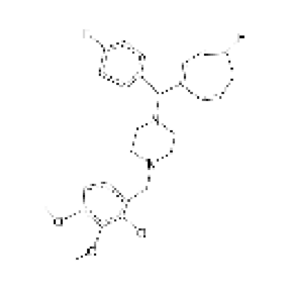 COc1ccc(CN2CCN(C(C3=CC=C(F)CC=C3)c3ccc(F)cc3)CC2)c(OC)c1OC